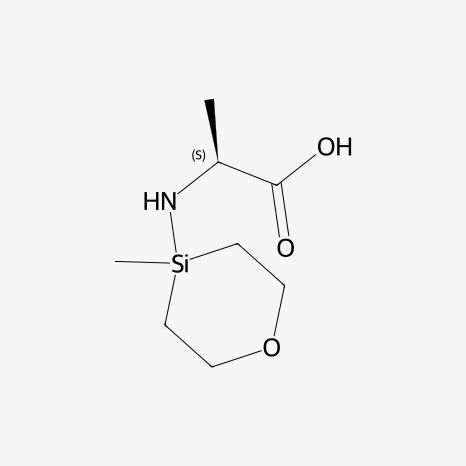 C[C@H](N[Si]1(C)CCOCC1)C(=O)O